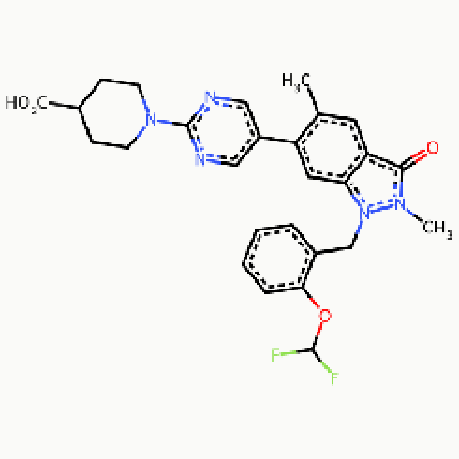 Cc1cc2c(=O)n(C)n(Cc3ccccc3OC(F)F)c2cc1-c1cnc(N2CCC(C(=O)O)CC2)nc1